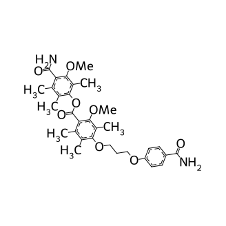 COc1c(C)c(OC(=O)c2c(C)c(C)c(OCCCOc3ccc(C(N)=O)cc3)c(C)c2OC)c(C)c(C)c1C(N)=O